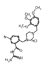 COc1ccc(CN2CCN(Cc3ccc(Br)cc3C(=O)NC(=N)N)CC2)c(OC)c1OC.Cl